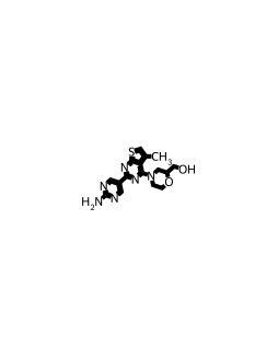 Cc1csc2nc(-c3cnc(N)nc3)nc(N3CCOC(CO)C3)c12